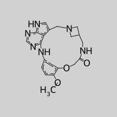 COc1ccc2cc1OCC(=O)NCC1CN(Cc3c[nH]c4ncnc(c34)N2)C1